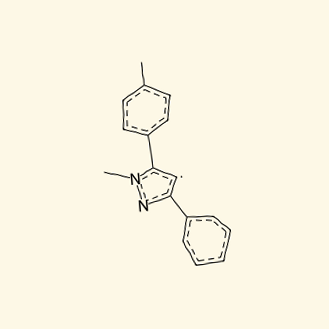 Cc1ccc(-c2[c]c(-c3ccccc3)nn2C)cc1